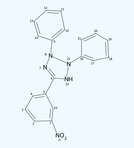 O=[N+]([O-])c1cccc(C2=NN(c3ccccc3)N(c3ccccc3)N2)c1